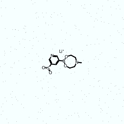 CN1CCOB(c2cncc(S(=O)[O-])c2)OCC1.[Li+]